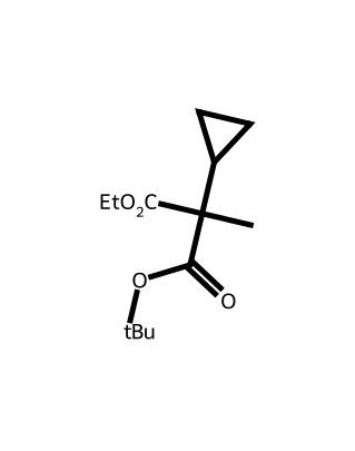 CCOC(=O)C(C)(C(=O)OC(C)(C)C)C1CC1